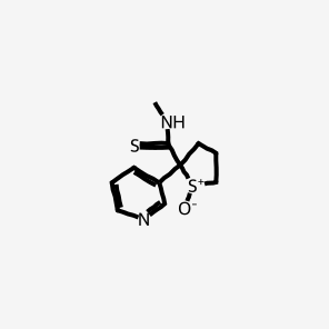 CNC(=S)C1(c2cccnc2)CCC[S+]1[O-]